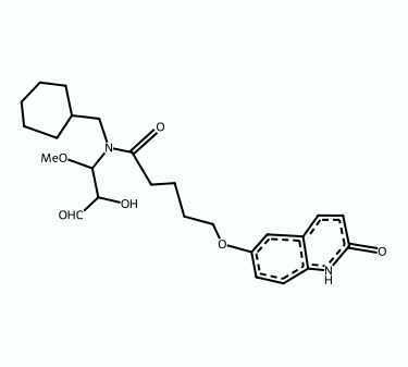 COC(C(O)C=O)N(CC1CCCCC1)C(=O)CCCCOc1ccc2[nH]c(=O)ccc2c1